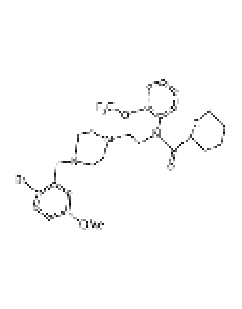 COc1ccc(Br)c(CN2CCN(CCN(C(=O)C3CCCCC3)c3ccccc3OC(F)(F)F)CC2)c1